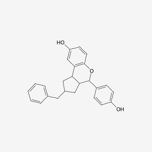 Oc1ccc(C2Oc3ccc(O)cc3C3CC(Cc4ccccc4)CC32)cc1